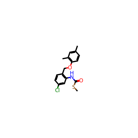 CSC(=O)Nc1cc(Cl)ccc1COc1ccc(C)cc1C